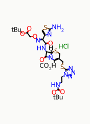 CC(C)(C)OC(=O)CON=C(C(=O)NC1C(=O)N2C(C(=O)O)=C(CSc3nnnn3CCNC(=O)OC(C)(C)C)CS[C@@H]12)c1csc(N)n1.Cl